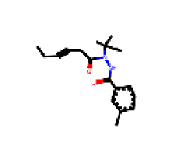 CCC#CCC(=O)N(NC(=O)c1cccc(C)c1)C(C)(C)C